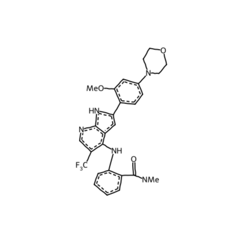 CNC(=O)c1ccccc1Nc1c(C(F)(F)F)cnc2[nH]c(-c3ccc(N4CCOCC4)cc3OC)cc12